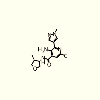 C[C@@H]1COC[C@H]1NC(=O)c1cc(Cl)nc(-c2cnn(C)c2)c1N